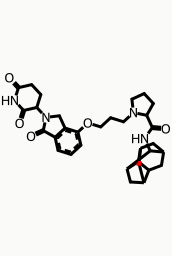 O=C1CCC(N2Cc3c(OCCCN4CCCC4C(=O)NC4C5CC6CC7CC4C6C7C5)cccc3C2=O)C(=O)N1